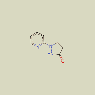 O=C1CCN(c2ccccn2)N1